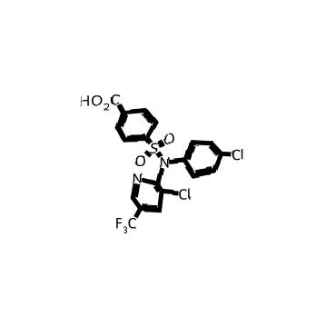 O=C(O)c1ccc(S(=O)(=O)N(c2ccc(Cl)cc2)c2ncc(C(F)(F)F)cc2Cl)cc1